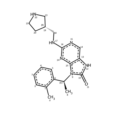 Cc1ccccc1[C@H](C)n1c(=O)[nH]c2cnc(NC[C@@H]3CCNC3)nc21